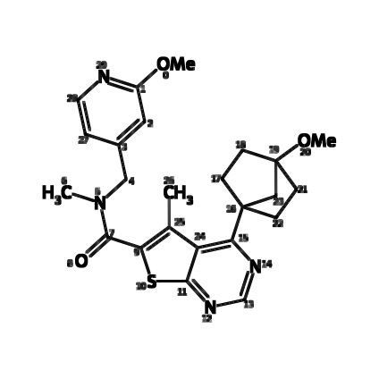 COc1cc(CN(C)C(=O)c2sc3ncnc(C45CCC(OC)(CC4)C5)c3c2C)ccn1